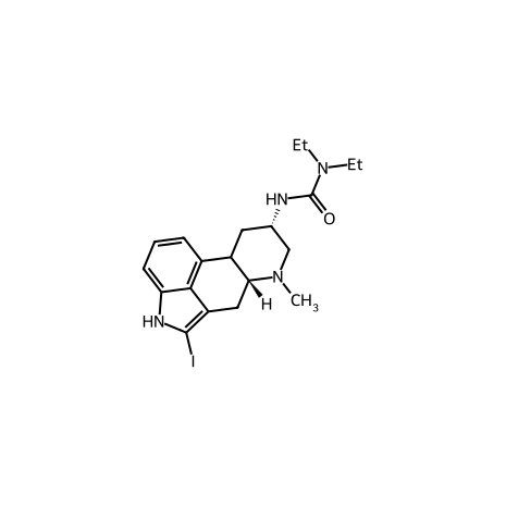 CCN(CC)C(=O)N[C@H]1CC2c3cccc4[nH]c(I)c(c34)C[C@H]2N(C)C1